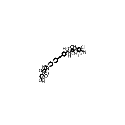 CC1(C)[C@H](NC(=O)c2ccc(C#CC3CCN(C4CCN(c5cnc6c(n5)C(=O)N(C5CCC(=O)NC5=O)C6=O)CC4)CC3)cc2)C(C)(C)[C@H]1Oc1ccc(C#N)c(Cl)c1